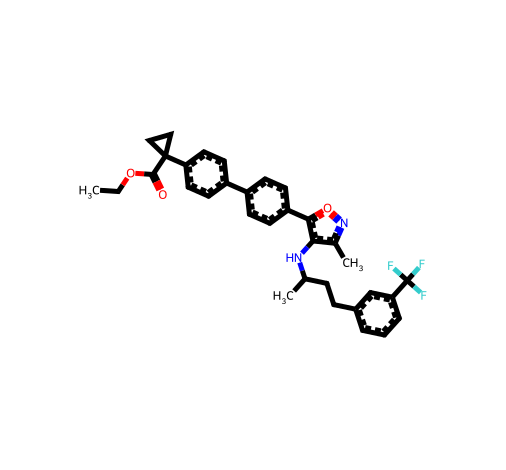 CCOC(=O)C1(c2ccc(-c3ccc(-c4onc(C)c4NC(C)CCc4cccc(C(F)(F)F)c4)cc3)cc2)CC1